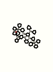 c1ccc(N(c2ccccc2)c2cc3c4c(c2)N(c2cccc([Si](c5ccccc5)(c5ccccc5)c5ccccc5)c2)c2cc5c(cc2B4c2ccccc2N3c2cccc([Si](c3ccccc3)(c3ccccc3)c3ccccc3)c2)c2ccccc2n5-c2ccccc2)cc1